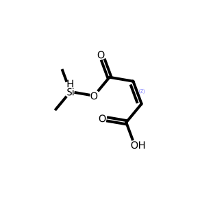 C[SiH](C)OC(=O)/C=C\C(=O)O